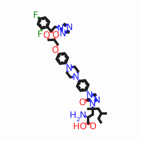 CCC(C)CC(C)(C[C@H](N)C(=O)O)n1ncn(-c2ccc(N3CCN(c4ccc(OCC5COC(Cn6cncn6)(c6ccc(F)cc6F)O5)cc4)CC3)cc2)c1=O